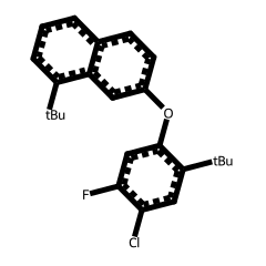 CC(C)(C)c1cc(Cl)c(F)cc1Oc1ccc2cccc(C(C)(C)C)c2c1